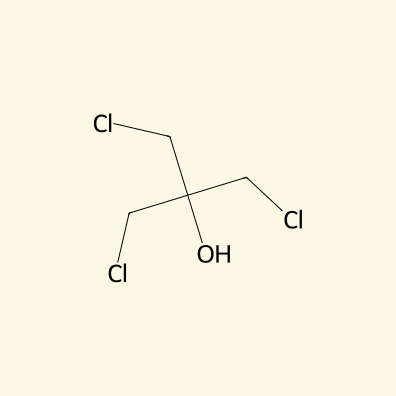 OC(CCl)(CCl)CCl